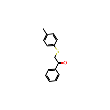 Cc1ccc(SCC(=O)c2ccccc2)cc1